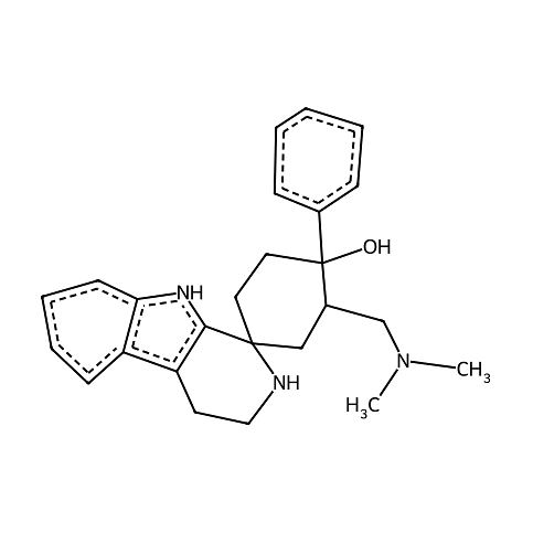 CN(C)CC1CC2(CCC1(O)c1ccccc1)NCCc1c2[nH]c2ccccc12